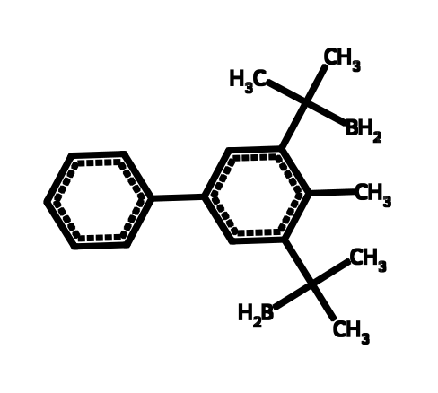 BC(C)(C)c1cc(-c2ccccc2)cc(C(B)(C)C)c1C